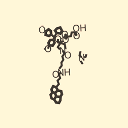 CCN(CC)CC.COc1ccc(C(OCC2(COC(=O)CCC(=O)O)CCN(C(=O)CCCCCNC(=O)CCCc3ccc4ccc5cccc6ccc3c4c56)CC2)(c2ccccc2)c2ccc(OC)cc2)cc1